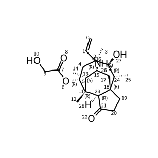 C=C[C@]1(C)C[C@@H](OC(=O)CO)[C@]2(C)[C@H](C)[C@H](N)C[C@]3(CCC(=O)[C@H]32)[C@@H](C)[C@@H]1O